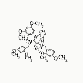 COc1ccc(CNc2c(N)c(N(Cc3ccc(OC)cc3OC)Cc3ccc(OC)cc3OC)nc(C)c2I)c(OC)c1